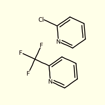 Clc1ccccn1.FC(F)(F)c1ccccn1